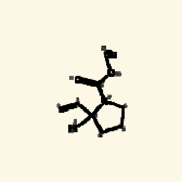 C=CC1(CC)CCCN1C(=O)OC(C)(C)C